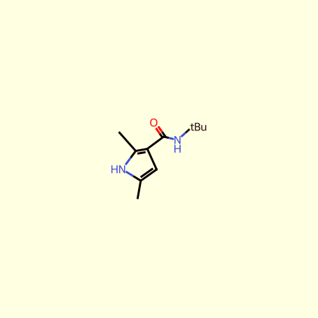 Cc1cc(C(=O)NC(C)(C)C)c(C)[nH]1